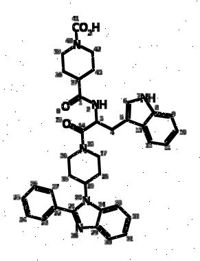 O=C(NC(Cc1c[nH]c2ccccc12)C(=O)N1CCC(n2c(-c3ccccc3)nc3ccccc32)CC1)C1CCN(C(=O)O)CC1